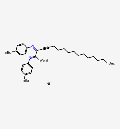 CCCCCCCCCCCCCCCCCCCCCC#CC(=Nc1ccc(CCCC)cc1)C(CCCCC)=Nc1ccc(CCCC)cc1.[Ni]